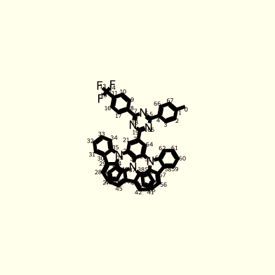 Cc1ccc(-c2nc(-c3ccc(C(F)(F)F)cc3)nc(-c3cc(-n4c5ccccc5c5ccccc54)c(-n4c5ccccc5c5ccccc54)c(-n4c5ccccc5c5ccccc54)c3)n2)cc1